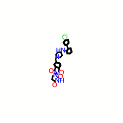 O=C1CCN(N2C(=O)c3ccc(CN4CCC(Nc5ccccc5-c5ccc(Cl)cc5)CC4)cc3C2=O)C(=O)N1